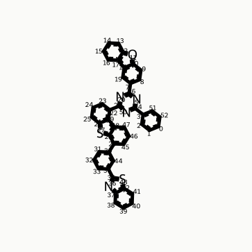 c1ccc(-c2nc(-c3ccc4oc5ccccc5c4c3)nc(-c3cccc4sc5c(-c6cccc(-c7nc8ccccc8s7)c6)cccc5c34)n2)cc1